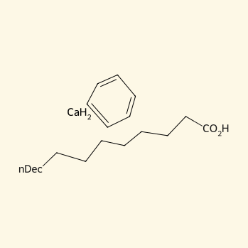 CCCCCCCCCCCCCCCCCC(=O)O.[CaH2].c1ccccc1